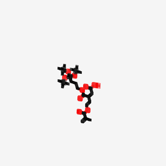 C=C(C)C(=O)OCCC(CC(=O)O)C(=O)OCCC[Si](O[Si](C)(C)C)(O[Si](C)(C)C)O[Si](C)(C)C